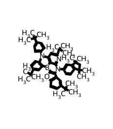 CC(C)(C)c1ccc(N2c3ccc(C(C)(C)C)cc3B3c4oc5ccc(C(C)(C)C)cc5c4N(c4ccc5c(c4)C(C)(C)CC5(C)C)c4nc(C(C)(C)C)cc2c43)cc1